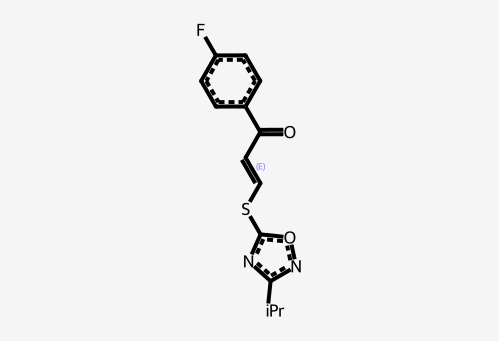 CC(C)c1noc(S/C=C/C(=O)c2ccc(F)cc2)n1